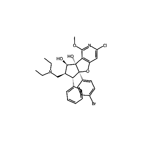 CCN(CC)C[C@H]1[C@@H](O)[C@@]2(O)c3c(cc(Cl)nc3OC)O[C@@]2(c2ccc(Br)cc2)[C@@H]1c1ccccc1